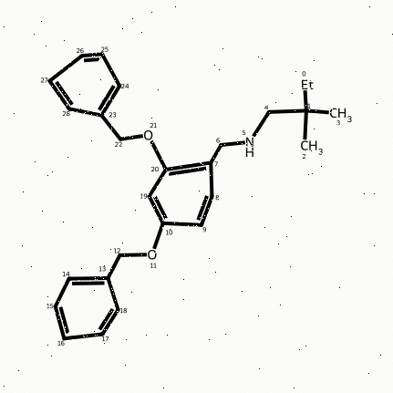 CCC(C)(C)CNCc1ccc(OCc2ccccc2)cc1OCc1ccccc1